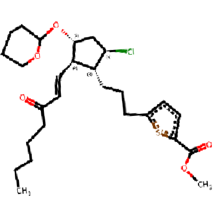 CCCCCC(=O)C=C[C@@H]1[C@@H](CCCc2ccc(C(=O)OC)s2)[C@H](Cl)C[C@H]1OC1CCCCO1